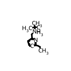 CCc1cccc(CNC(C)(C)C)n1